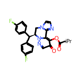 CC(C)C(=O)Oc1c2n(ncc1=O)[C@@H](C(c1ccc(F)cc1)c1ccc(F)cc1)Cn1ccnc1-2